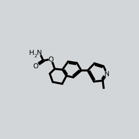 Cc1cc(-c2ccc3c(c2)CCCC3OC(N)=O)ccn1